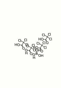 O=C(O)C(Cl)(Cl)Cl.O=C(O)C(Cl)(Cl)Cl.O=C(O)C(Cl)(Cl)Cl.O=C(O)C(Cl)(Cl)Cl.OB(O)O